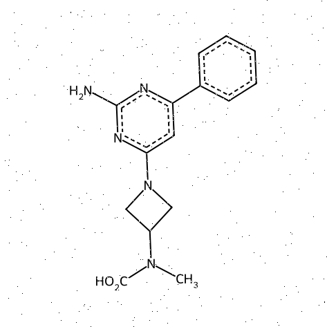 CN(C(=O)O)C1CN(c2cc(-c3ccccc3)nc(N)n2)C1